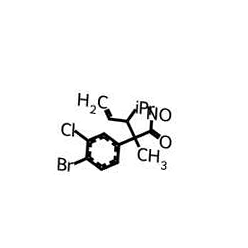 C=CC(C(C)C)C(C)(C(=O)N=O)c1ccc(Br)c(Cl)c1